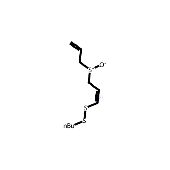 C=CC[S+]([O-])C/C=C\SSCCCC